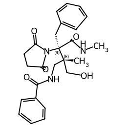 CNC(=O)[C@](Cc1ccccc1)(N1C(=O)CCC1=O)[C@](C)(CO)CNC(=O)c1ccccc1